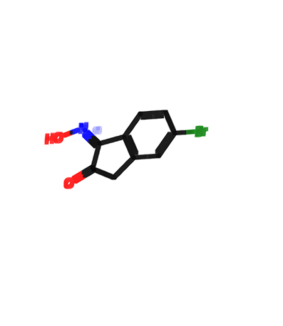 O=C1Cc2cc(Br)ccc2/C1=N/O